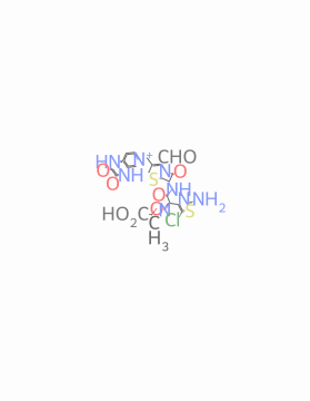 C[C@H](O/N=C(\C(=O)NC1C(=O)N2C(C=O)=C(C[n+]3ccc4[nH]c(=O)c(=O)[nH]c4c3)CSC12)c1nc(N)sc1Cl)C(=O)O